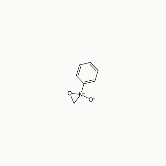 [O-][N+]1(c2ccccc2)CO1